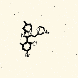 Cc1ccn2c(CC3CN(C)CCO3)c(-c3c(C)cc(Br)cc3Cl)nc2c1